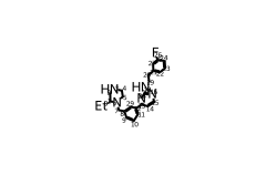 CC[C@H]1CNCCN1Cc1cccc(-c2ccnc(NCCc3cccc(F)c3)n2)c1